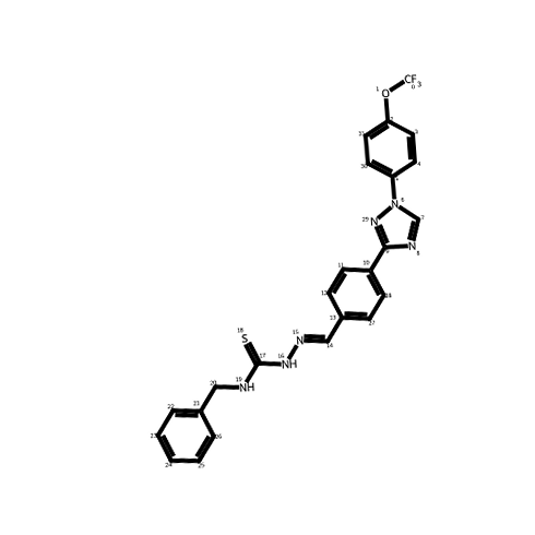 FC(F)(F)Oc1ccc(-n2cnc(-c3ccc(C=NNC(=S)NCc4ccccc4)cc3)n2)cc1